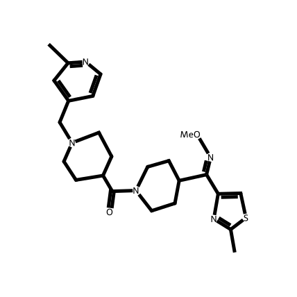 CO/N=C(/c1csc(C)n1)C1CCN(C(=O)C2CCN(Cc3ccnc(C)c3)CC2)CC1